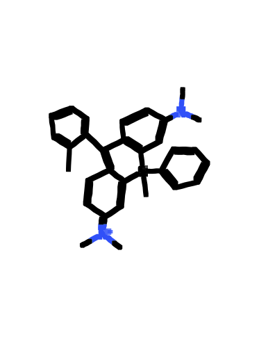 Cc1ccccc1C1=C2C=CC(=[N+](C)C)C=C2[Si](C)(c2ccccc2)c2cc(N(C)C)ccc21